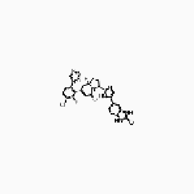 O=C1C=C(c2c(-n3cnnn3)ccc(Cl)c2F)C[C@@H]2CC[C@@H](c3ncc(-c4ccc5[nH]c(=O)[nH]c5c4)[nH]3)N12